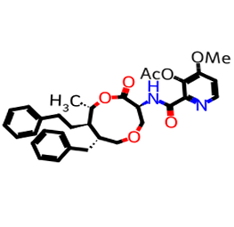 COc1ccnc(C(=O)N[C@H]2COC[C@H](Cc3ccccc3)[C@@H](CCc3ccccc3)[C@H](C)OC2=O)c1OC(C)=O